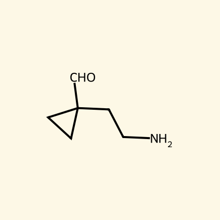 NCCC1(C=O)CC1